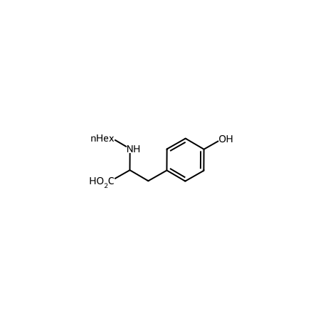 CCCCCCNC(Cc1ccc(O)cc1)C(=O)O